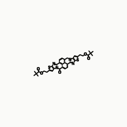 CC(C)(C)C(=O)OCCc1cc2c(nc3n2Cc2ccc4c5c2c-3ccc5c(=O)n2c3cc(CCOC(=O)C(C)(C)C)sc3nc42)s1